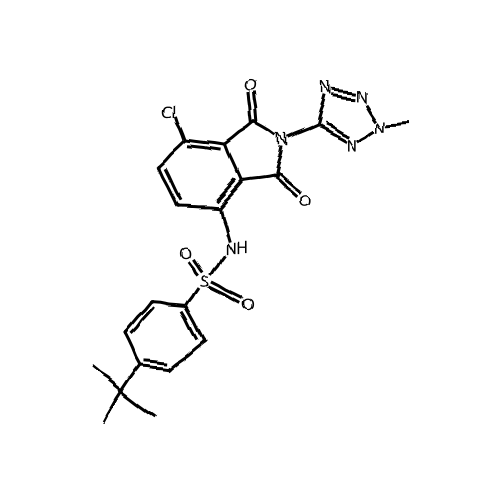 Cn1nnc(N2C(=O)c3c(Cl)ccc(NS(=O)(=O)c4ccc(C(C)(C)C)cc4)c3C2=O)n1